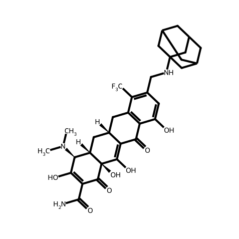 CN(C)[C@@H]1C(O)=C(C(N)=O)C(=O)[C@@]2(O)C(O)=C3C(=O)c4c(O)cc(CNC56CC7CC(CC(C7)C5)C6)c(C(F)(F)F)c4C[C@H]3C[C@@H]12